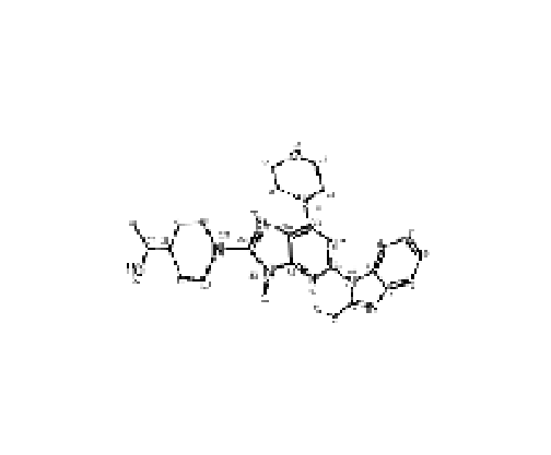 CCc1nc2ccccc2n1-c1nc(N2CCOCC2)c2nc(N3CCC(C(C)O)CC3)n(C)c2n1